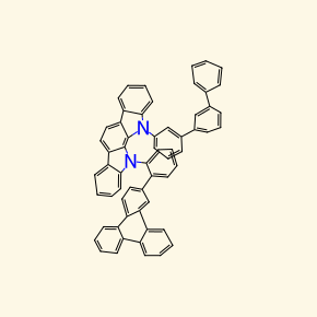 c1ccc(-c2cccc(-c3cccc(-n4c5ccccc5c5ccc6c7ccccc7n(-c7ccccc7-c7ccc8c9ccccc9c9ccccc9c8c7)c6c54)c3)c2)cc1